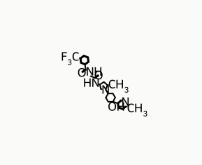 Cc1ccc(C2(O)CCC(N3CC(NC(=O)CNC(=O)c4cccc(C(F)(F)F)c4)CC3C)CC2)cn1